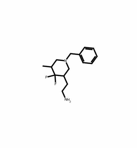 CC1CN(Cc2ccccc2)CC(CCN)C1(F)F